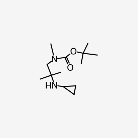 CN(CC(C)(C)NC1CC1)C(=O)OC(C)(C)C